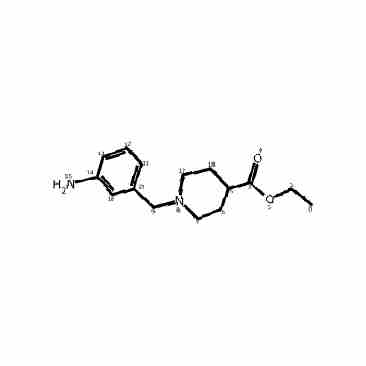 CCOC(=O)C1CCN(Cc2cccc(N)c2)CC1